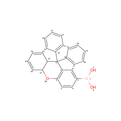 OB(O)c1ccc2c(c1)C(c1ccccc1)(c1ccccc1)C1C=CC=CC1O2